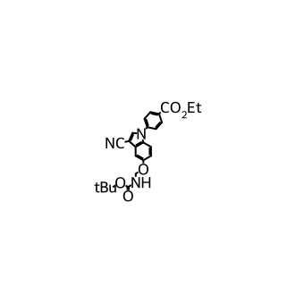 CCOC(=O)c1ccc(-n2cc(C#N)c3cc(OCNC(=O)OC(C)(C)C)ccc32)cc1